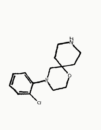 Clc1ccccc1N1CCOC2(CCNCC2)C1